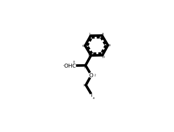 O=[C]C(OCI)c1ccccc1